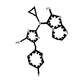 CCc1nc2sccn2c1N(c1nc(-c2ccc(F)cc2)c(C#N)s1)C1CC1